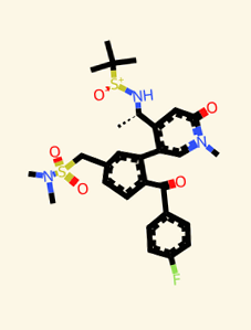 C[C@H](N[S@@+]([O-])C(C)(C)C)c1cc(=O)n(C)cc1-c1cc(CS(=O)(=O)N(C)C)ccc1C(=O)c1ccc(F)cc1